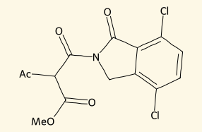 COC(=O)C(C(C)=O)C(=O)N1Cc2c(Cl)ccc(Cl)c2C1=O